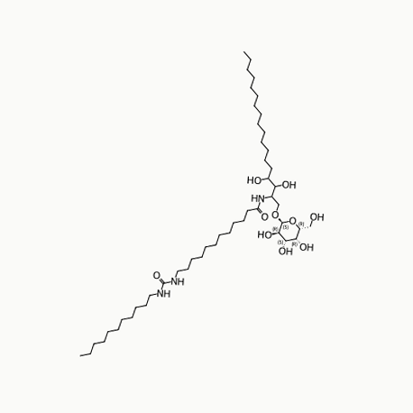 CCCCCCCCCCCCCCC(O)C(O)C(CO[C@H]1O[C@H](CO)[C@H](O)[C@H](O)[C@H]1O)NC(=O)CCCCCCCCCCCNC(=O)NCCCCCCCCCCC